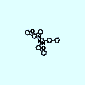 c1ccc(-c2ccc(-c3cc(-n4c5ccccc5c5c6oc7ccccc7c6ccc54)nc(-c4cccc5c4oc4ccccc45)n3)cc2)cc1